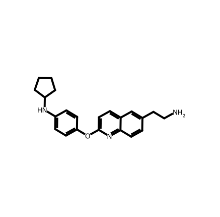 NCCc1ccc2nc(Oc3ccc(NC4CCCC4)cc3)ccc2c1